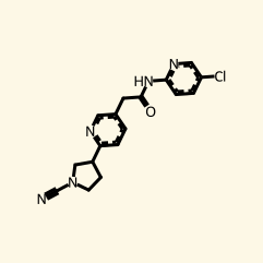 N#CN1CCC(c2ccc(CC(=O)Nc3ccc(Cl)cn3)cn2)C1